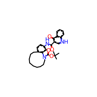 CC(C)(C)OC(=O)N1CCCCCCCCCc2ccc(NC(=O)c3c[nH]c4ccccc4c3=O)cc21